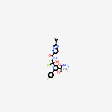 C[C@]1(C(N)=O)COc2c1cc(C(O)(CNC(=O)c1ccc3nc(C4CC4)cn3n1)C(F)(F)F)nc2-c1ccc(F)cc1